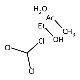 CC(C)=O.CCO.ClC(Cl)Cl.O